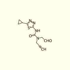 C#CCN(CC=O)C(=O)Nc1nnc(C2CC2)s1